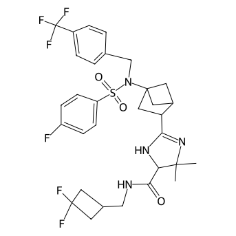 CC1(C)N=C(C2CC3(N(Cc4ccc(C(F)(F)F)cc4)S(=O)(=O)c4ccc(F)cc4)CC2C3)NC1C(=O)NCC1CC(F)(F)C1